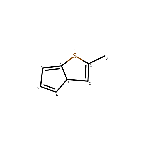 CC1=CC2C=CC=C2S1